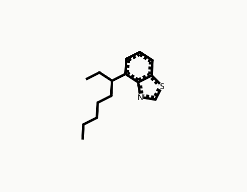 CCCCCC(CC)c1cccc2scnc12